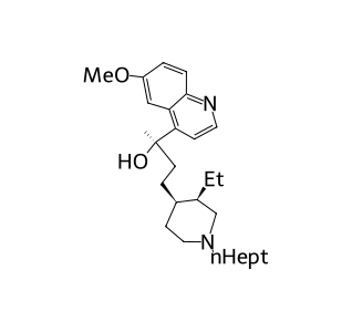 CCCCCCCN1CC[C@@H](CC[C@@](C)(O)c2ccnc3ccc(OC)cc23)[C@@H](CC)C1